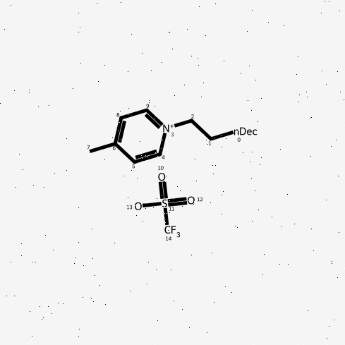 CCCCCCCCCCCC[n+]1ccc(C)cc1.O=S(=O)([O-])C(F)(F)F